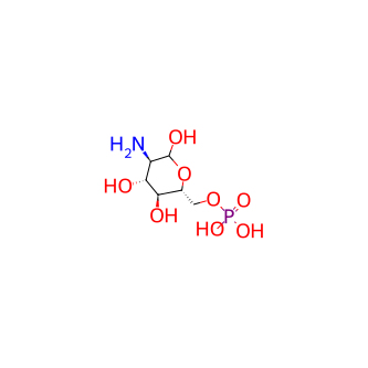 N[C@H]1C(O)O[C@H](COP(=O)(O)O)[C@@H](O)[C@@H]1O